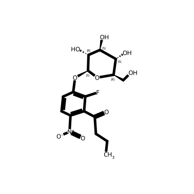 CCCC(=O)c1c([N+](=O)[O-])ccc(O[C@@H]2O[C@H](CO)[C@@H](O)[C@H](O)[C@H]2O)c1F